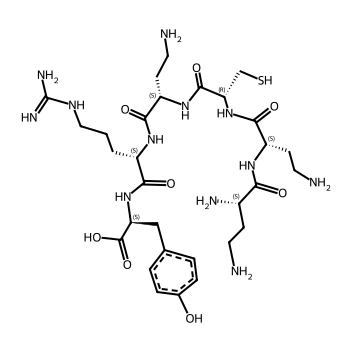 N=C(N)NCCC[C@H](NC(=O)[C@H](CCN)NC(=O)[C@H](CS)NC(=O)[C@H](CCN)NC(=O)[C@@H](N)CCN)C(=O)N[C@@H](Cc1ccc(O)cc1)C(=O)O